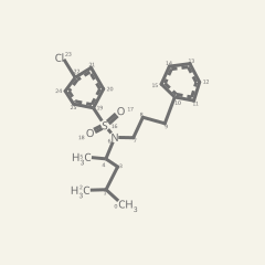 CC(C)CC(C)N(CCCc1ccccc1)S(=O)(=O)c1ccc(Cl)cc1